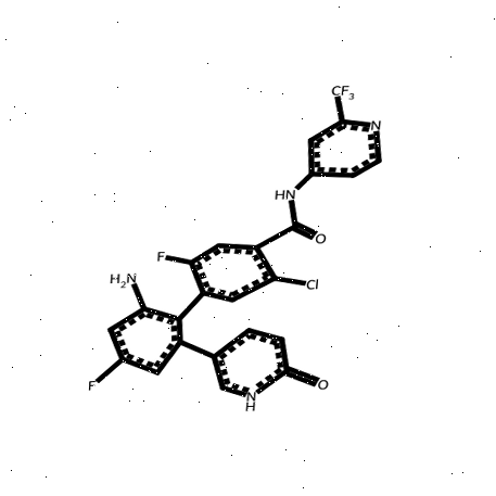 Nc1cc(F)cc(-c2ccc(=O)[nH]c2)c1-c1cc(Cl)c(C(=O)Nc2ccnc(C(F)(F)F)c2)cc1F